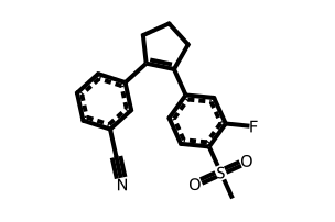 CS(=O)(=O)c1ccc(C2=C(c3cccc(C#N)c3)CCC2)cc1F